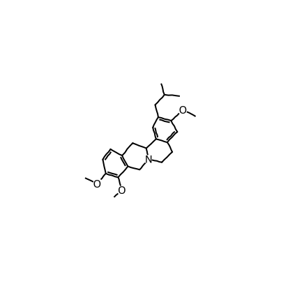 COc1cc2c(cc1CC(C)C)C1Cc3ccc(OC)c(OC)c3CN1CC2